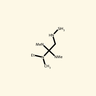 CCN(C)C(CN[SiH3])(NC)NC